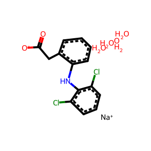 O.O.O.O.O=C([O-])Cc1ccccc1Nc1c(Cl)cccc1Cl.[Na+]